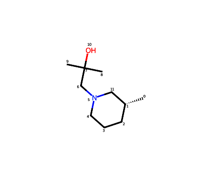 C[C@@H]1CCCN(CC(C)(C)O)C1